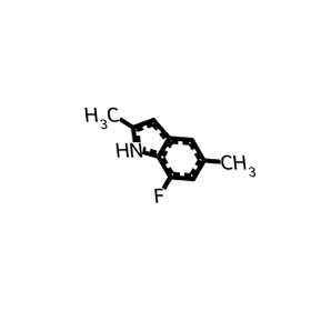 Cc1cc(F)c2[nH]c(C)cc2c1